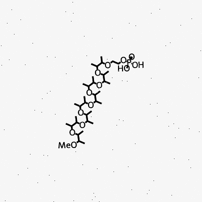 COC(C)C(C)OC(C)C(C)OC(C)C(C)OC(C)C(C)OC(C)C(C)OC(C)C(C)OC(C)C(C)OC(C)C(C)OCCOP(=O)(O)O